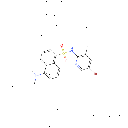 Cc1cc(Br)cnc1NS(=O)(=O)c1cccc2c(N(C)C)cccc12